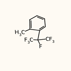 Cc1ccccc1C(F)(C(F)(F)F)C(F)(F)F